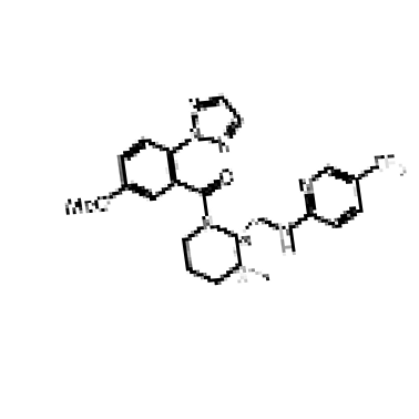 COc1ccc(-n2nccn2)c(C(=O)N2CCC[C@@H](C)[C@H]2CNc2ccc(C(F)(F)F)cn2)c1